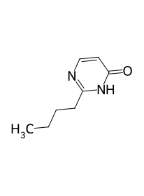 CCCCc1nccc(=O)[nH]1